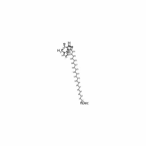 CCCCCCCCCCCCCCCCCCCCCCCCCCCCCCCCCC1=NNC(C=S)N1[SH]1C=CC=C1C